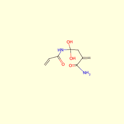 C=CC(=O)NC(O)(O)CC(=C)C(N)=O